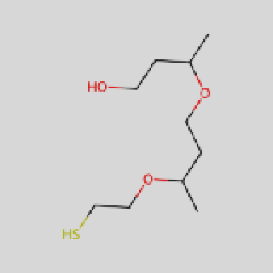 CC(CCO)OCCC(C)OCCS